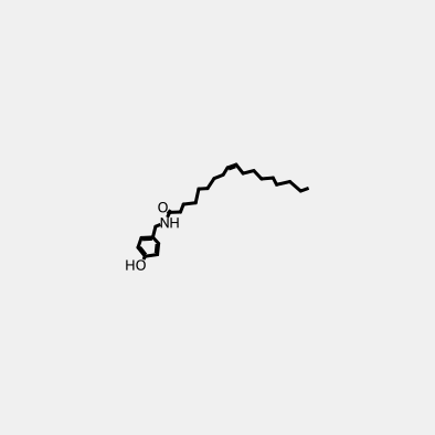 CCCCCCCC/C=C\CCCCCCCC(=O)NCc1ccc(O)cc1